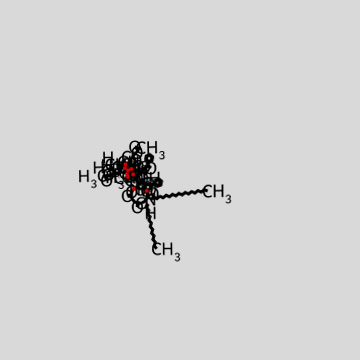 CCCCCCCCCCCCC/C=C/[C@H]1OC(=O)CCC(=O)OC[C@@H]2O[C@@H](OC[C@@H]1NC(=O)CCCCCCCCCCCCCCCCC)C(OC(=O)c1ccccc1)C(O)[C@@H]2O[C@@H]1OC(COC(=O)c2ccccc2)[C@H](O[C@@H]2OC(COC(C)=O)[C@H](C)[C@H](C)C2NC(C)=O)[C@H](O[C@]2(C(=O)OC)CC(C)[C@@H](C)[C@H]([C@H](C)[C@@H](COC(C)=O)OC(C)=O)O2)C1C